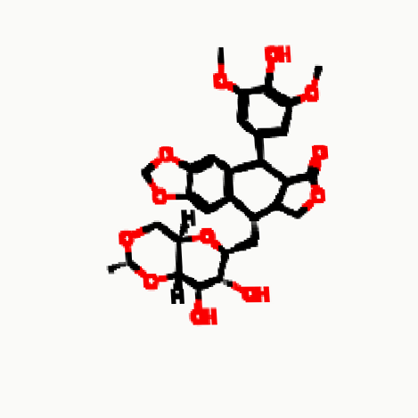 COc1cc([C@@H]2c3cc4c(cc3[C@@H](C[C@@H]3O[C@@H]5CO[C@@H](C)O[C@H]5[C@H](O)[C@H]3O)C3COC(=O)C32)OCO4)cc(OC)c1O